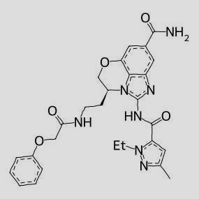 CCn1nc(C)cc1C(=O)Nc1nc2cc(C(N)=O)cc3c2n1[C@@H](CCNC(=O)COc1ccccc1)CO3